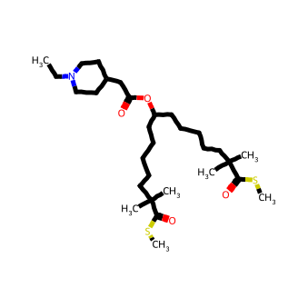 CCN1CCC(CC(=O)OC(CCCCCC(C)(C)C(=O)SC)CCCCCC(C)(C)C(=O)SC)CC1